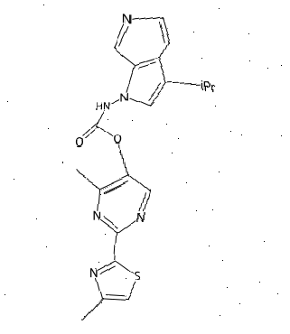 Cc1csc(-c2ncc(OC(=O)Nn3cc(C(C)C)c4ccncc43)c(C)n2)n1